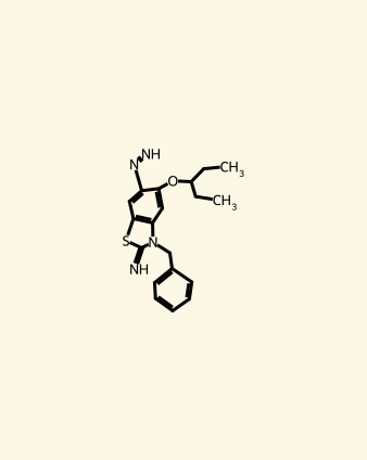 CCC(CC)Oc1cc2c(cc1N=N)sc(=N)n2Cc1ccccc1